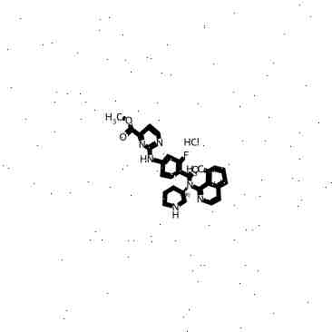 COC(=O)c1ccnc(Nc2ccc(C(=O)N(c3nccc4cccc(C)c34)[C@@H]3CCCNC3)c(F)c2)n1.Cl